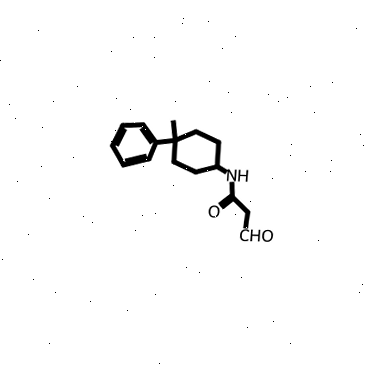 CC1(c2ccccc2)CCC(NC(=O)CC=O)CC1